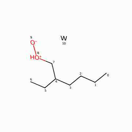 CCCCC(CC)C[OH+][O-].[W]